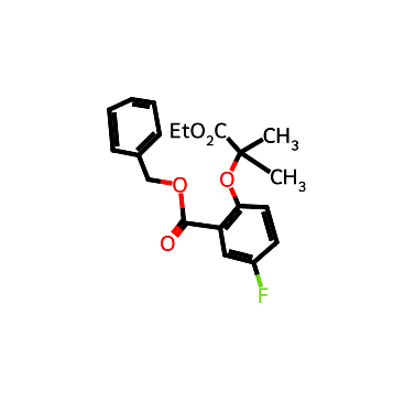 CCOC(=O)C(C)(C)Oc1ccc(F)cc1C(=O)OCc1ccccc1